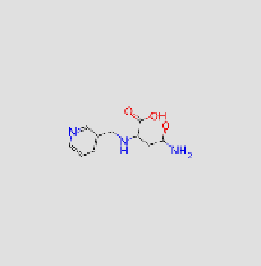 NC(=O)CC(NCc1cccnc1)C(=O)O